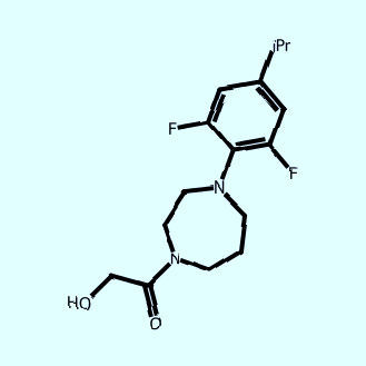 CC(C)c1cc(F)c(N2CCCN(C(=O)CO)CC2)c(F)c1